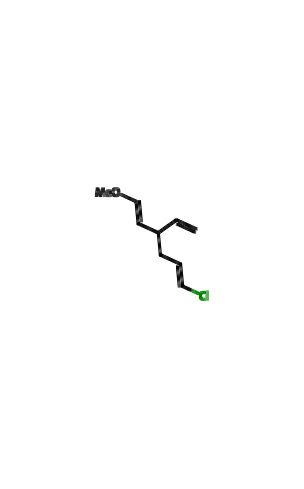 C=CC(/C=C/OC)C/C=C/Cl